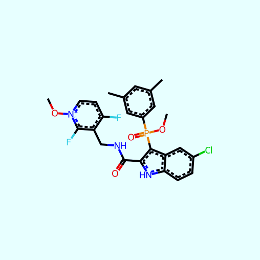 CO[n+]1ccc(F)c(CNC(=O)c2[nH]c3ccc(Cl)cc3c2P(=O)(OC)c2cc(C)cc(C)c2)c1F